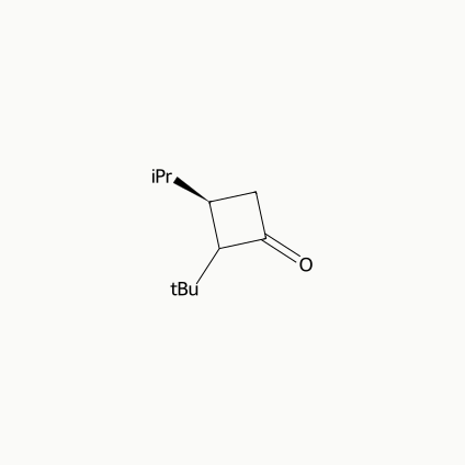 CC(C)[C@H]1CC(=O)C1C(C)(C)C